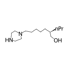 CCC[C@@H](CO)CCCCCN1CCNCC1